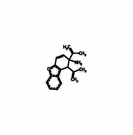 C=C(C)C1c2c(oc3ccccc23)C=CC1(N)C(=C)C